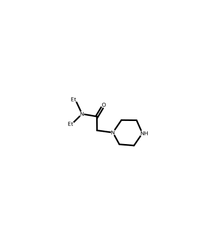 CCN(CC)C(=O)CN1CCNCC1